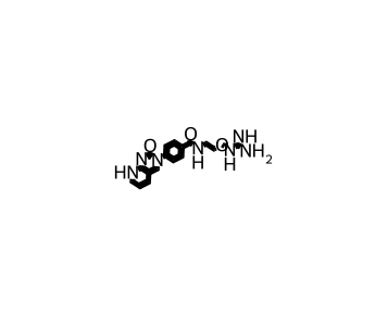 N=C(N)NOCCNC(=O)c1ccc(-n2cc3c(nc2=O)NCC=C3)cc1